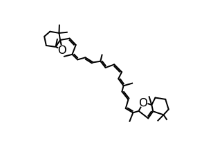 CC(/C=C\C12OC1(C)CCCC2(C)C)=C/C=C/C(C)=C/C=C\C=C(C)\C=C\C=C(\C)C1C=C2C(C)(C)CCCC2(C)O1